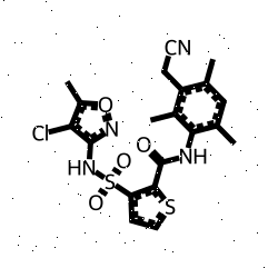 Cc1cc(C)c(NC(=O)c2sccc2S(=O)(=O)Nc2noc(C)c2Cl)c(C)c1CC#N